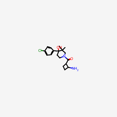 CC1(C)CN(C(=O)C2CCC2N)CCC1(O)c1ccc(Cl)cc1